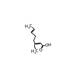 CC=CCCC(=CC(=O)O)CC